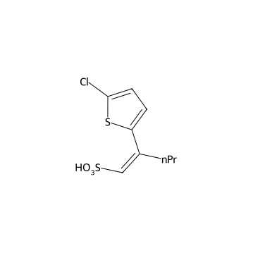 CCC/C(=C/S(=O)(=O)O)c1ccc(Cl)s1